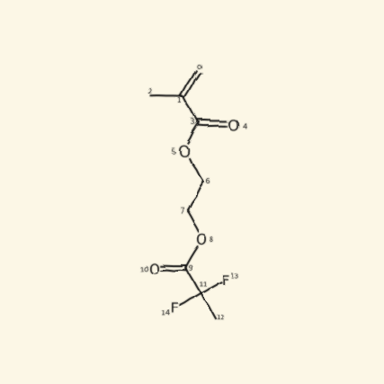 C=C(C)C(=O)OCCOC(=O)C(C)(F)F